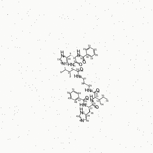 CCC(C)[C@H](NC(=O)[C@H](Cc1cnc[nH]1)NC(=O)c1ccccc1)C(=O)NCCCNC(=O)[C@H](NC(=O)[C@@H](Cc1cnc[nH]1)NC(=O)c1ccccc1)C(C)CC